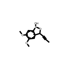 CC#CC1OB(O)c2cc(OC)c(OC)cc21